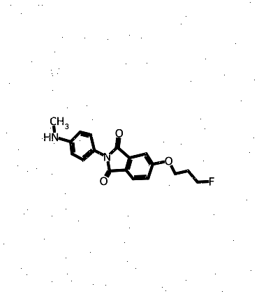 CNc1ccc(N2C(=O)c3ccc(OCCCF)cc3C2=O)cc1